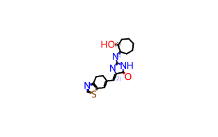 O=C1NC(/N=C2\CCCCC[C@@H]2O)=NC/1=C\C1=Cc2scnc2CC1